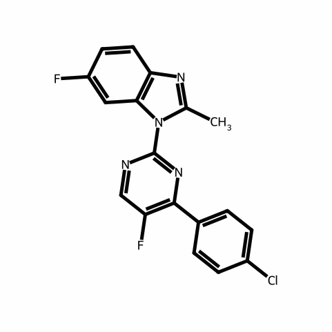 Cc1nc2ccc(F)cc2n1-c1ncc(F)c(-c2ccc(Cl)cc2)n1